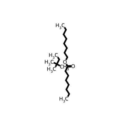 CCC(C)(C)C.CCCCCCCCOC(=O)CCCCCCC